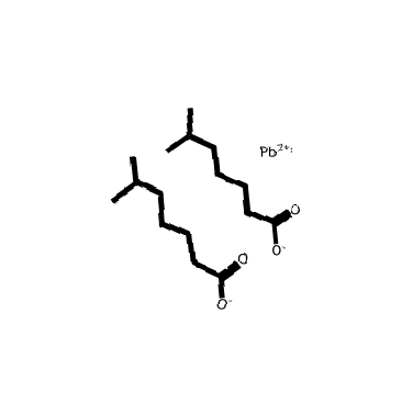 CC(C)CCCCC(=O)[O-].CC(C)CCCCC(=O)[O-].[Pb+2]